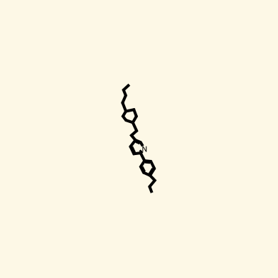 CCCCC1CCC(CCc2ccc(-c3ccc(CCC)cc3)nc2)CC1